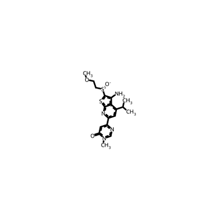 COCC[S@@+]([O-])c1sc2nc(-c3cc(=O)n(C)cn3)cc(C(C)C)c2c1N